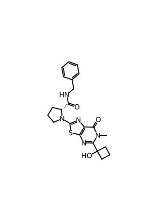 Cn1c(C2(O)CCC2)nc2sc(N3CCC[C@@H]3C(=O)NCc3ccccc3)nc2c1=O